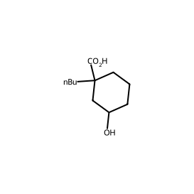 CCCCC1(C(=O)O)CCCC(O)C1